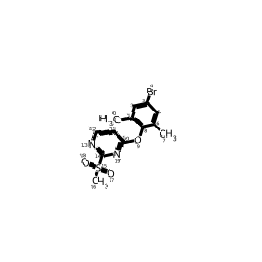 Cc1cc(Br)cc(C)c1Oc1ccnc(S(C)(=O)=O)n1